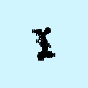 Cc1c(COc2cc(OCc3cn4ncccc4n3)c(CNC(C=O)CCO)cc2Cl)cccc1-c1cccc(COc2cc(OCc3c[nH]c(/C=C\C=N)n3)c(CNC(CCO)C(=O)O)cc2Cl)c1C